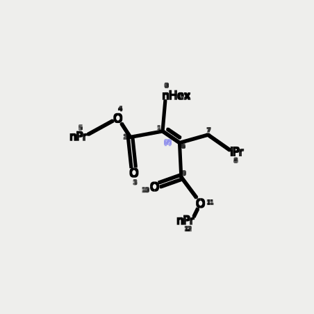 CCCCCC/C(C(=O)OCCC)=C(\CC(C)C)C(=O)OCCC